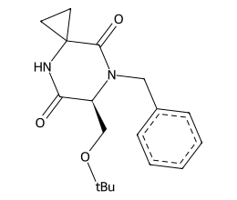 CC(C)(C)OC[C@H]1C(=O)NC2(CC2)C(=O)N1Cc1ccccc1